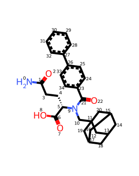 NC(=O)CC[C@@H](C(=O)O)N(CC12CC3CC(CC(C3)C1)C2)C(=O)c1ccc(-c2ccccc2)cc1